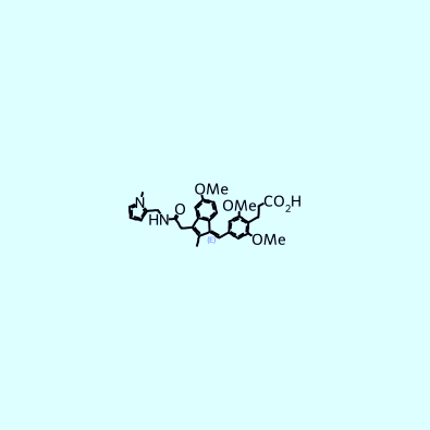 COc1ccc2c(c1)C(CC(=O)NCc1cccn1C)=C(C)/C2=C/c1cc(OC)c(CCC(=O)O)c(OC)c1